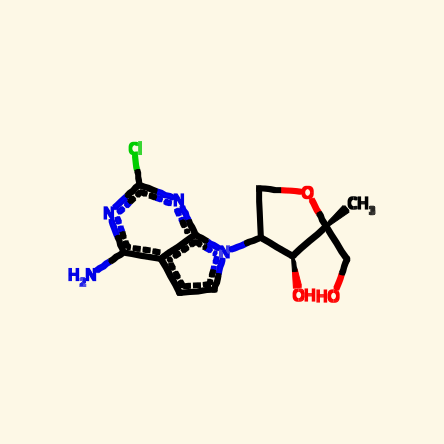 C[C@]1(CO)OCC(n2ccc3c(N)nc(Cl)nc32)[C@@H]1O